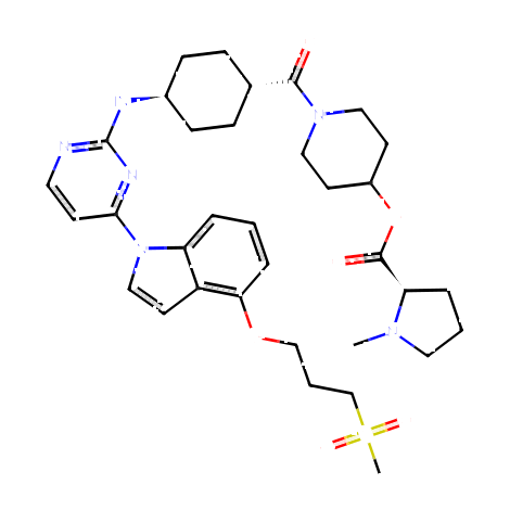 CN1CCC[C@@H]1C(=O)OC1CCN(C(=O)[C@H]2CC[C@H](Nc3nccc(-n4ccc5c(OCCCS(C)(=O)=O)cccc54)n3)CC2)CC1